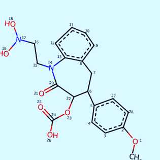 COc1ccc(C2Cc3ccccc3N(CCN(O)O)C(=O)C2OC(=O)O)cc1